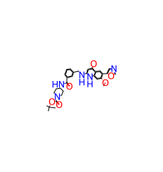 COc1cc2[nH]c(NCc3cccc(C(=O)NC4CCN(C(=O)OC(C)(C)C)CC4)c3)cc(=O)c2cc1-c1cnco1